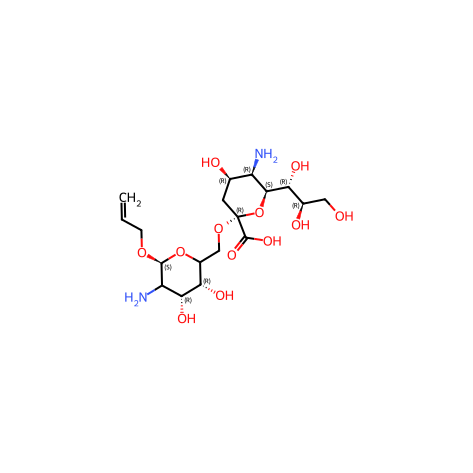 C=CCO[C@H]1OC(CO[C@]2(C(=O)O)C[C@@H](O)[C@@H](N)[C@@H]([C@H](O)[C@H](O)CO)O2)[C@H](O)[C@H](O)C1N